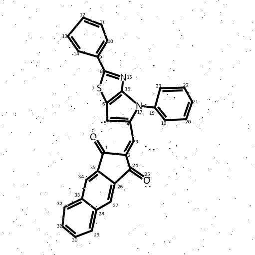 O=C1C(=Cc2cc3sc(-c4ccccc4)nc3n2-c2ccccc2)C(=O)c2cc3ccccc3cc21